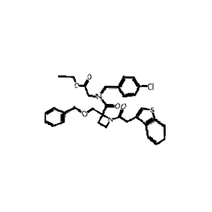 CCOC(=O)CN(Cc1ccc(Cl)cc1)C(=O)C1(COCc2ccccc2)CCN1C(=O)Cc1csc2c1C=CCC2